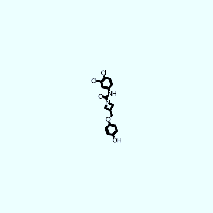 O=C(Nc1ccc(Cl)c(Cl)c1)N1CC(COc2ccc(O)cc2)C1